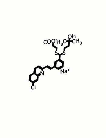 CC(C)(O)CCSC(SCCC(=O)[O-])c1cccc(C=Cc2ccc3ccc(Cl)cc3n2)c1.[Na+]